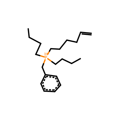 C=CCCCC[PH](CCCC)(CCCC)Cc1ccccc1